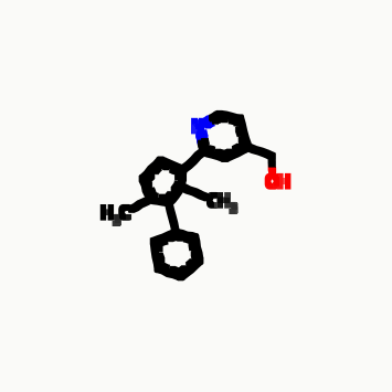 Cc1ccc(-c2cc(CO)ccn2)c(C)c1-c1ccccc1